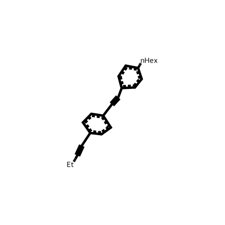 CCC#Cc1ccc(C#Cc2ccc(CCCCCC)cc2)cc1